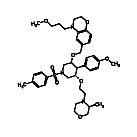 COCCCN1CCOc2ccc(CO[C@H]3CN(S(=O)(=O)c4ccc(C)cc4)C[C@@H](OCCN4CCOC[C@@H]4C)[C@@H]3c3ccc(OC)cc3)cc21